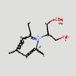 Cc1cc(C)[n+](C(CO)CO)c(C)c1